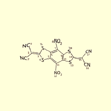 N#CC(C#N)=C1Sc2c(c([N+](=O)[O-])c3c(c2[N+](=O)[O-])SC(=C(C#N)C#N)S3)S1